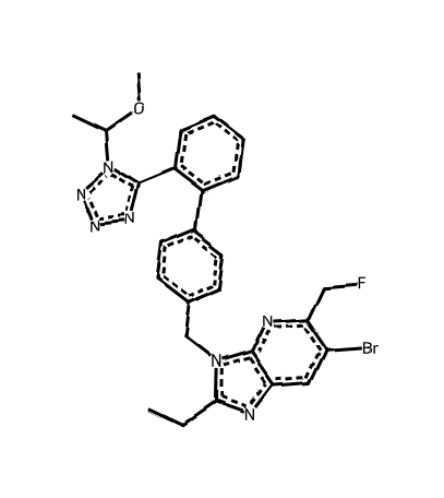 CCc1nc2cc(Br)c(CF)nc2n1Cc1ccc(-c2ccccc2-c2nnnn2C(C)OC)cc1